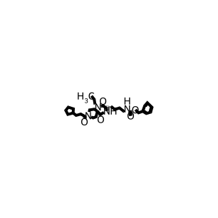 CCCN1C(=O)[C@H](CCCCNC(=O)OCc2ccccc2)NC(=O)C12CCN(C(=O)CCC1CCCC1)CC2